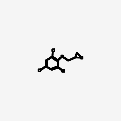 Clc1cc(Cl)c(OCC2CO2)c(Cl)c1